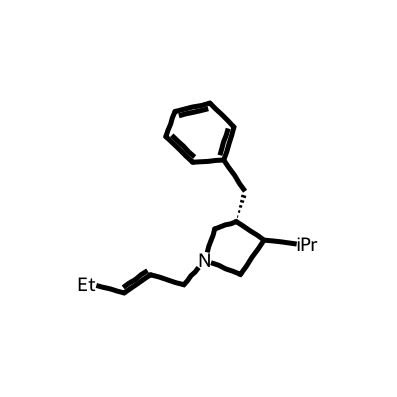 CC/C=C/CN1CC(C(C)C)[C@@H](Cc2ccccc2)C1